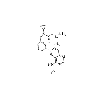 COCC(=O)N(Cc1cccc(-c2cc3c(NC4CC4)ncnc3cc2C)c1)C1CC1